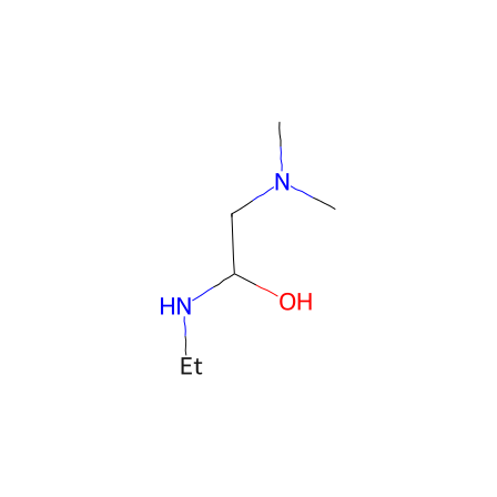 CCNC(O)CN(C)C